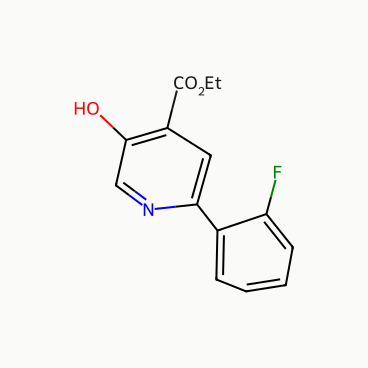 CCOC(=O)c1cc(-c2ccccc2F)ncc1O